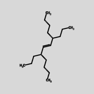 CCCCC(/C=C/C(CCC)CCCC)CCC